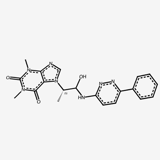 C[C@@H](C(O)Nc1ccc(-c2ccccc2)nn1)n1cnc2c1c(=O)n(C)c(=O)n2C